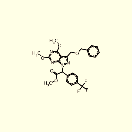 COC(=O)C(c1ccc(C(F)(F)F)cc1)n1nc(COCc2ccccc2)c2c(OC)nc(OC)nc21